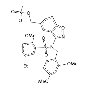 CCc1ccc(OC)c(S(=O)(=O)N(Cc2ccc(OC)cc2OC)c2noc3ccc(COS(C)(=O)=O)cc23)c1